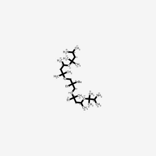 CCCCC(CC)(COC(C)(C)CC(C)OC(C)(C)CC(C)N)COC(C)(CC)CC(C)OC(C)(C)C(C)N